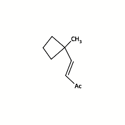 CC(=O)C=CC1(C)CCC1